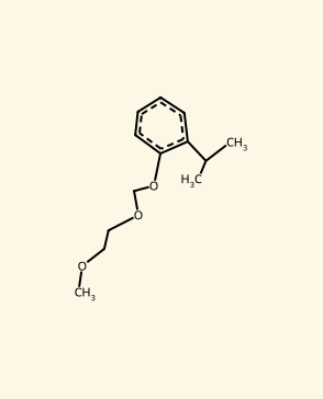 COCCOCOc1ccccc1C(C)C